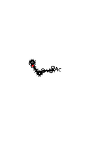 CC(=O)CC(=O)OCCCCOc1cccc(CCCCOC2CCCCO2)c1